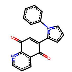 O=C1C(c2cccn2-c2ccccc2)=CC(=O)c2ncccc21